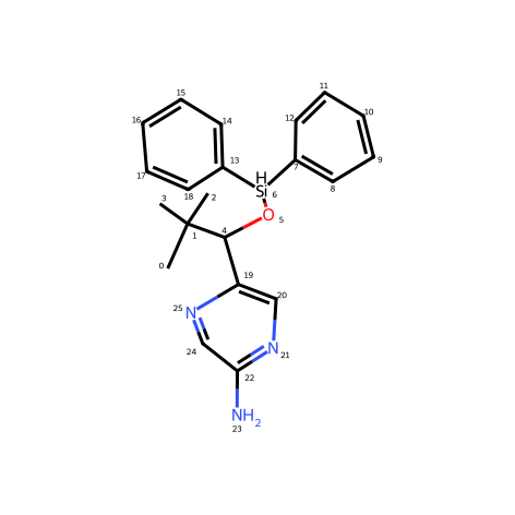 CC(C)(C)C(O[SiH](c1ccccc1)c1ccccc1)c1cnc(N)cn1